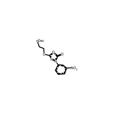 CCCCCCCCCCCCOc1nn(-c2cccc([N+](=O)[O-])c2)c(=O)o1